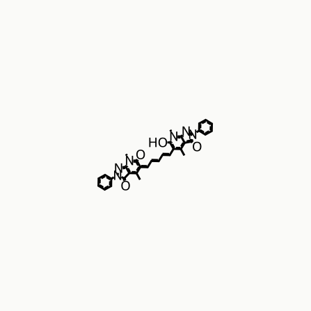 Cc1c(C=CC=CC=c2c(C)c3c(n(C)c2=O)=NN(c2ccccc2)C3=O)c(O)n(C)c2nn(-c3ccccc3)c(=O)c1-2